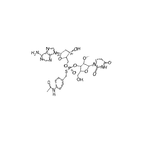 COC1C(OP(=O)(OCC2O[C@@H](n3cnc4c(N)ncnc43)C[C@H]2O)SCc2ccc(NC(C)=O)cc2)C(CO)OC1n1ccc(=O)[nH]c1=O